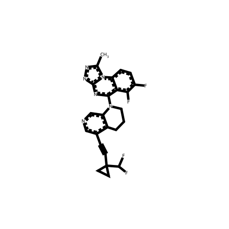 Cc1nnc2nc(N3CCCc4c(C#CC5(C(F)F)CC5)cncc43)c3c(F)c(F)ccc3n12